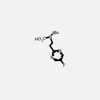 CC(C)(C)N(CCc1ncc(F)cn1)C(=O)O